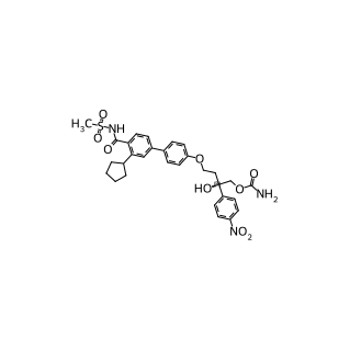 CS(=O)(=O)NC(=O)c1ccc(-c2ccc(OCC[C@](O)(COC(N)=O)c3ccc([N+](=O)[O-])cc3)cc2)cc1C1CCCC1